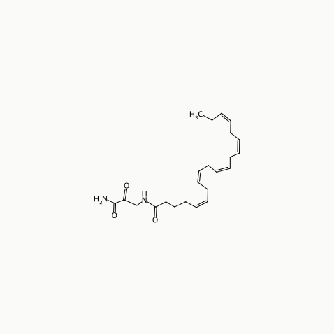 CC/C=C\C/C=C\C/C=C\C/C=C\C/C=C\CCCC(=O)NCC(=O)C(N)=O